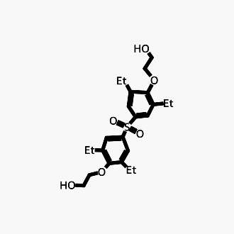 CCc1cc(S(=O)(=O)c2cc(CC)c(OCCO)c(CC)c2)cc(CC)c1OCCO